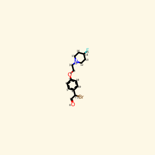 O=CC(Br)c1ccc(OCCN2CCC(F)CC2)cc1